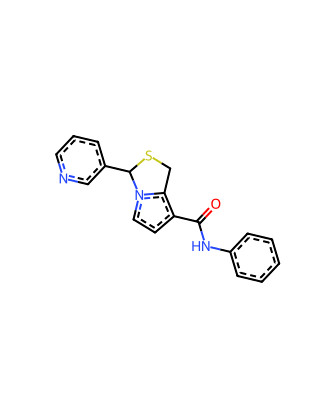 O=C(Nc1ccccc1)c1ccn2c1CSC2c1cccnc1